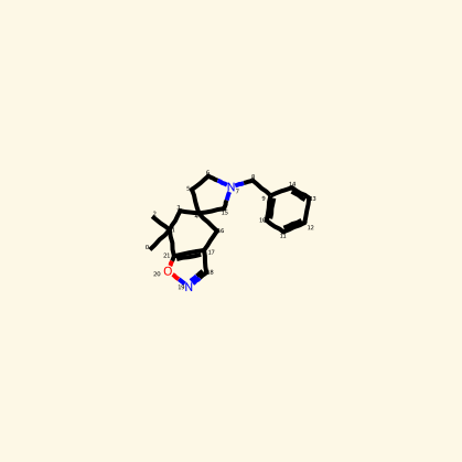 CC1(C)CC2(CCN(Cc3ccccc3)C2)Cc2cnoc21